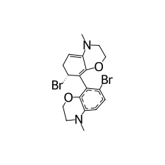 CN1CCOC2=C(c3c(Br)ccc4c3OCCN4C)[C@H](Br)CC=C21